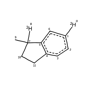 [2H]c1ccc2c(c1)C([2H])(C)CC2